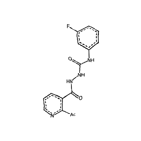 CC(=O)c1ncccc1C(=O)NNC(=O)Nc1cccc(F)c1